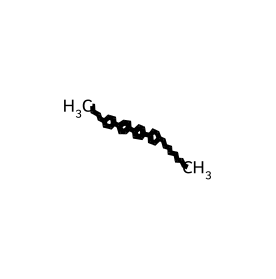 CCCCCCCCCC1CC=C(c2ccc(-c3ccc(C4=CCC(CCCCC)CC4)cc3)cc2)CC1